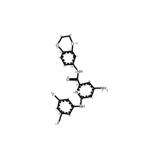 Nc1cc(Nc2cc(F)cc(F)c2)nc(C(=O)Nc2ccc3c(c2)OCCO3)c1